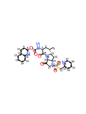 CCCC(NC(=O)Oc1ccc2ccccc2n1)C(=O)N1CCC2C1C(=O)CN2S(=O)(=O)Cc1ccccn1